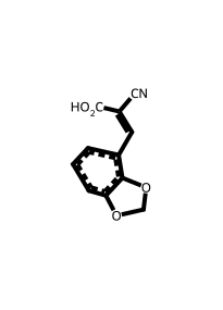 N#CC(=Cc1cccc2c1OCO2)C(=O)O